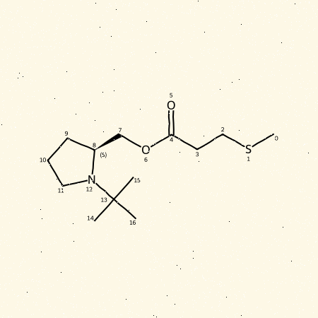 CSCCC(=O)OC[C@@H]1CCCN1C(C)(C)C